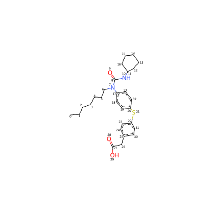 CCCCCCCN(C(=O)NC1CCCCC1)c1ccc(Sc2ccc(CC(=O)O)cc2)cc1